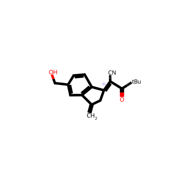 C=C1C/C(=C(/C#N)C(=O)C(C)(C)C)c2ccc(CO)cc21